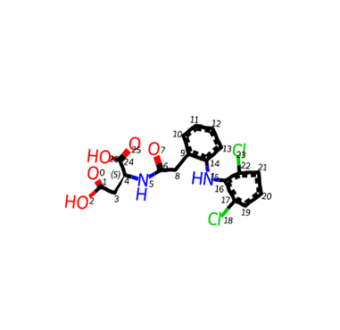 O=C(O)C[C@H](NC(=O)Cc1ccccc1Nc1c(Cl)cccc1Cl)C(=O)O